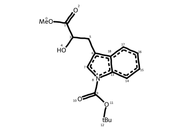 COC(=O)C(O)Cc1cn(C(=O)OC(C)(C)C)c2ccccc12